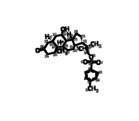 Cc1ccc(S(=O)(=O)OC[C@@H](C)[C@H]2CC[C@H]3[C@@H]4[C@H](O)C[C@@H]5CC(=O)CC[C@]5(C)[C@H]4CC[C@]23C)cc1